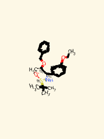 CCOc1cccc([C@H](N[S@@+]([O-])C(C)(C)C)[C@H](C)OCc2ccccc2)c1